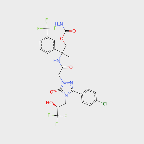 CC(COC(N)=O)(NC(=O)Cn1nc(-c2ccc(Cl)cc2)n(C[C@H](O)C(F)(F)F)c1=O)c1cccc(C(F)(F)F)c1